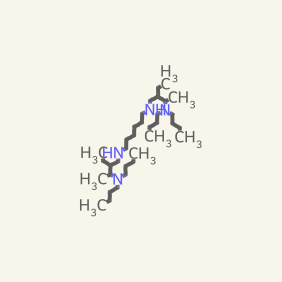 CCCCN(CCCC)C(C)C(CC)CNCCCCCCNCC(CC)C(C)N(CCCC)CCCC